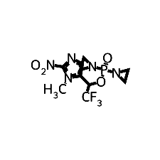 Cn1c(C(OP(=O)(N2CC2)N2CC2)C(F)(F)F)cnc1[N+](=O)[O-]